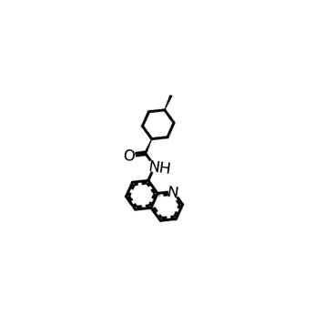 C[C@H]1CC[C@@H](C(=O)Nc2cccc3cccnc23)CC1